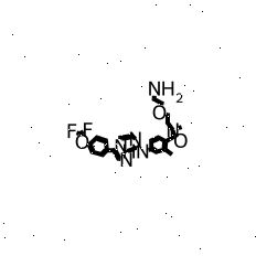 Cc1cc(Nc2nccn3c(-c4ccc(OC(F)F)cc4)cnc23)ccc1C(=O)N(C)CCOCCN